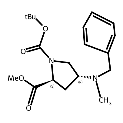 COC(=O)[C@@H]1C[C@@H](N(C)Cc2ccccc2)CN1C(=O)OC(C)(C)C